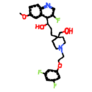 COc1ccc2ncc(F)c([C@H](O)CCC3(CO)CCN(CCOc4cc(F)cc(F)c4)CC3)c2c1